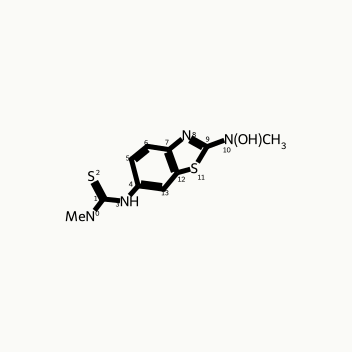 CNC(=S)Nc1ccc2nc(N(C)O)sc2c1